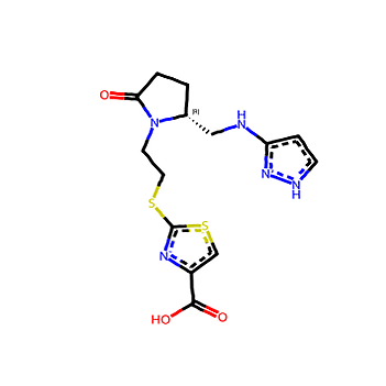 O=C(O)c1csc(SCCN2C(=O)CC[C@@H]2CNc2cc[nH]n2)n1